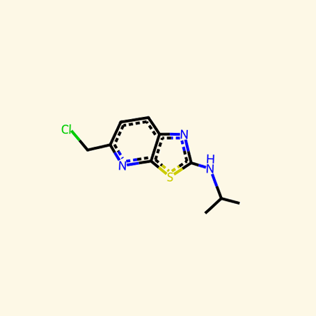 CC(C)Nc1nc2ccc(CCl)nc2s1